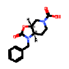 O=C(O)N1CC[C@@H]2[C@H](C1)OC(=O)N2Cc1ccccc1